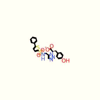 COC(=O)[C@@H](Cc1ccc(O)cc1)n1nncc1CNS(=O)(=O)c1ccc(-c2ccccc2)s1